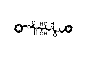 O=C(NCC(O)C(O)CNC(=O)OCc1ccccc1)OCc1ccccc1